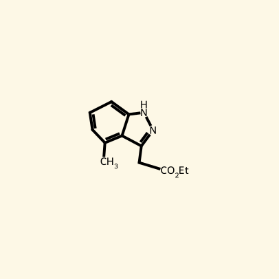 CCOC(=O)Cc1n[nH]c2cccc(C)c12